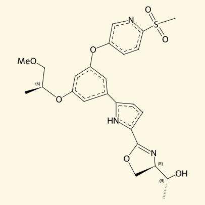 COC[C@H](C)Oc1cc(Oc2ccc(S(C)(=O)=O)nc2)cc(-c2ccc(C3=N[C@@H]([C@@H](C)O)CO3)[nH]2)c1